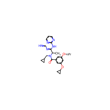 CCCOc1cc(OC2CC2)cc(C(=O)N(CC2CC2)C(C)/C(=N/C=N)Nc2ncccn2)c1